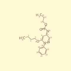 CCCCOc1c/c(=N\C(=O)OCCC)cnn1-c1ccccc1